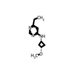 CCc1cc(N[C@H]2C[C@@H](OC)C2)ncn1